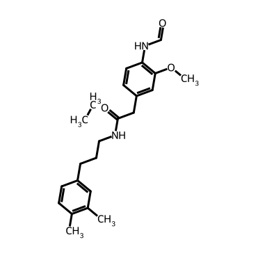 CC.COc1cc(CC(=O)NCCCc2ccc(C)c(C)c2)ccc1NC=O